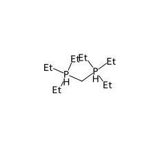 CC[PH](CC)(CC)C[PH](CC)(CC)CC